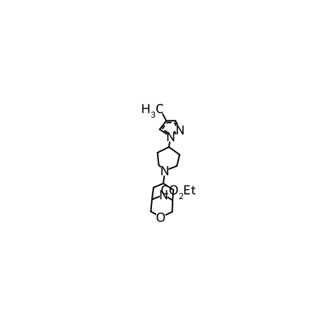 CCOC(=O)N1C2COCC1CC(N1CCC(n3cc(C)cn3)CC1)C2